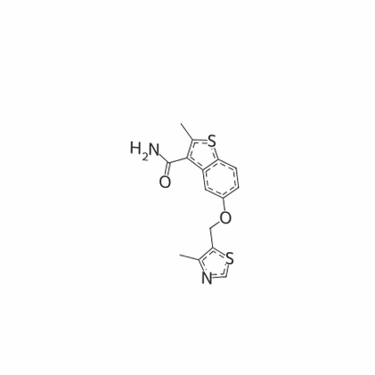 Cc1ncsc1COc1ccc2sc(C)c(C(N)=O)c2c1